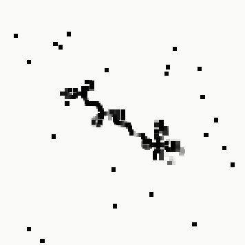 CC(C)(C)OCCCCNC(=O)CCC(=O)O